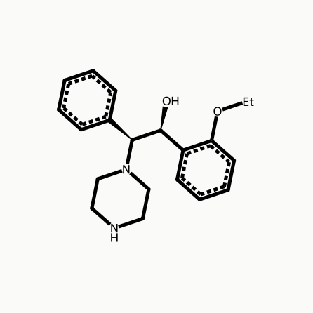 CCOc1ccccc1[C@H](O)[C@H](c1ccccc1)N1CCNCC1